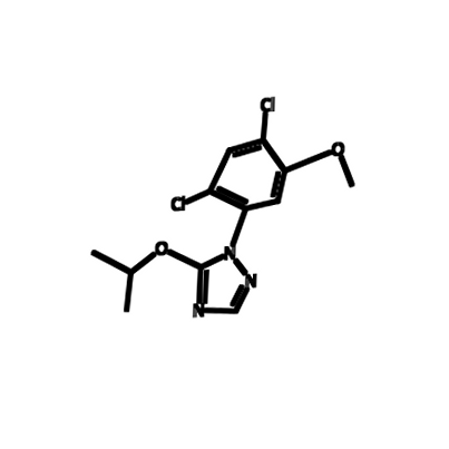 COc1cc(-n2ncnc2OC(C)C)c(Cl)cc1Cl